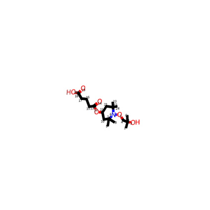 CC(C)(O)CON1C(C)(C)CC(OC(=O)CCCC(=O)O)CC1(C)C